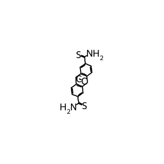 NC(=S)c1ccc2c(c1)C1CCC2c2cc(C(N)=S)ccc21